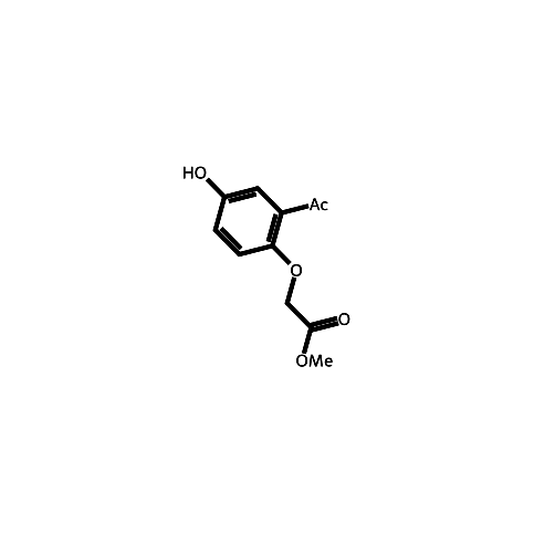 COC(=O)COc1ccc(O)cc1C(C)=O